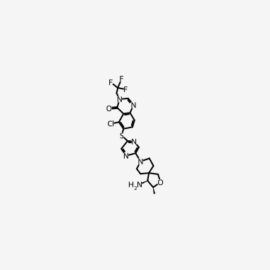 C[C@@H]1OCC2(CCN(c3cnc(Sc4ccc5ncn(CC(F)(F)F)c(=O)c5c4Cl)cn3)CC2)[C@@H]1N